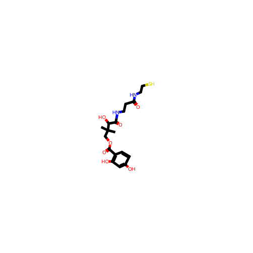 CC(C)(COC(=O)c1ccc(O)cc1O)C(O)C(=O)NCCC(=O)NCCS